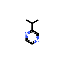 CC(C)c1cnc[c]n1